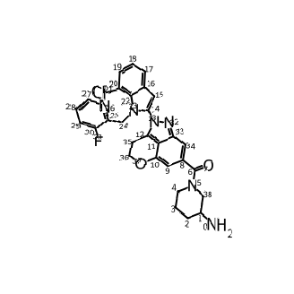 NC1CCCN(C(=O)c2cc3c4c(n(-c5cc6cccc(Cl)c6n5Cc5ncccc5F)nc4c2)CCO3)C1